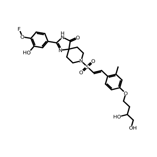 Cc1cc(OCCC(O)CO)ccc1/C=C/S(=O)(=O)N1CCC2(CC1)N=C(c1ccc(OF)c(O)c1)NC2=O